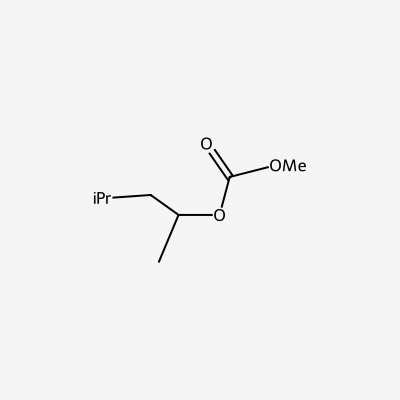 COC(=O)OC(C)CC(C)C